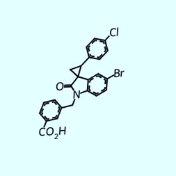 O=C(O)c1cccc(CN2C(=O)C3(CC3c3ccc(Cl)cc3)c3cc(Br)ccc32)c1